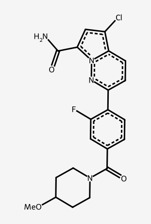 COC1CCN(C(=O)c2ccc(-c3ccc4c(Cl)cc(C(N)=O)n4n3)c(F)c2)CC1